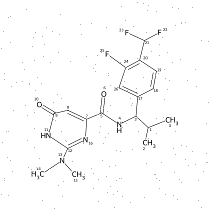 CC(C)C(NC(=O)c1cc(=O)[nH]c(N(C)C)n1)c1ccc(C(F)F)c(F)c1